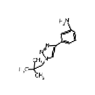 CC(C)(C)Cn1cc(-c2cccc(N)c2)nn1